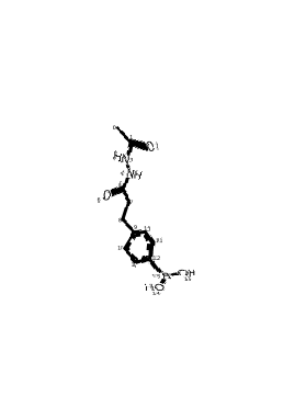 CC(=O)NNC(=O)CCc1ccc(B(O)O)cc1